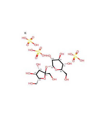 O=S(=O)(O)O.O=S(=O)(O)O.O=S(=O)(O)O.OC[C@H]1O[C@@](CO)(O[C@H]2O[C@H](CO)[C@@H](O)[C@H](O)[C@H]2O)[C@@H](O)[C@@H]1O.[K]